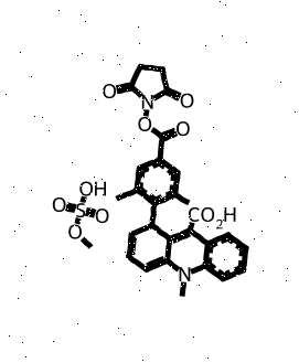 COS(=O)(=O)O.Cc1cc(C(=O)ON2C(=O)CCC2=O)cc(C)c1C1C=CC=C2C1=C(C(=O)O)c1ccccc1N2C